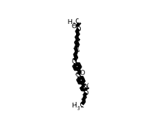 C=CC(=O)OCCCCCCCCCCOc1ccc(C(=O)Oc2ccc(-c3ccc(OCCCCC)cn3)cc2)cc1